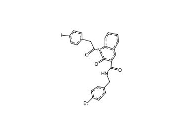 CCc1ccc(CNC(=O)c2cc3ccccc3n(C(=O)Cc3ccc(I)cc3)c2=O)cc1